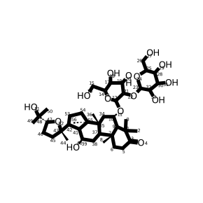 CC1(C)C(=O)CC[C@@]2(C)C1[C@@H](OC1OC(CO)C(O)C(O)C1OC1OC(CO)C(O)C(O)C1O)C[C@]1(C)C2C[C@@H](O)C2C([C@]3(C)CC[C@H](C(C)(C)O)O3)CC[C@]21C